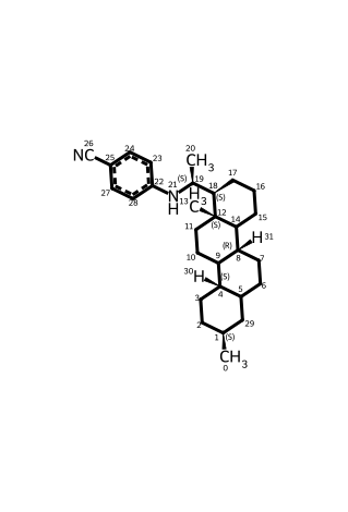 C[C@H]1CC[C@H]2C(CC[C@@H]3C2CC[C@@]2(C)C3CCC[C@@H]2[C@H](C)Nc2ccc(C#N)cc2)C1